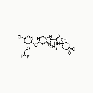 Cn1c(C(=O)NC2(C)CCS(=O)(=O)CC2)nc2cnc(Oc3ncc(Cl)cc3OCC(F)F)cc21